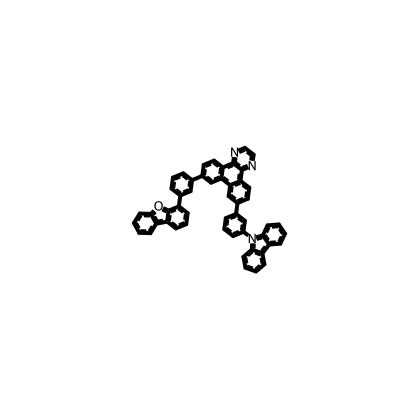 c1cc(-c2ccc3c(c2)c2cc(-c4cccc(-n5c6ccccc6c6ccccc65)c4)ccc2c2nccnc32)cc(-c2cccc3c2oc2ccccc23)c1